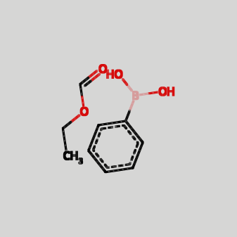 CCOC=O.OB(O)c1ccccc1